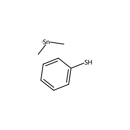 Sc1ccccc1.[CH3][Sn][CH3]